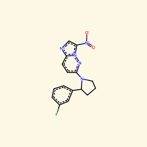 O=[N+]([O-])c1cnc2ccc(N3CCCC3c3cccc(F)c3)nn12